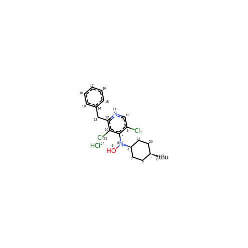 CC(C)(C)[C@H]1CC[C@@H](N(O)c2c(Cl)cnc(Cc3ccccc3)c2Cl)CC1.Cl